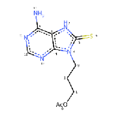 CC(=O)OCCCn1c(=S)[nH]c2c(N)ncnc21